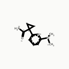 CN(C)c1cccc(C2(C(N)=O)CC2)n1